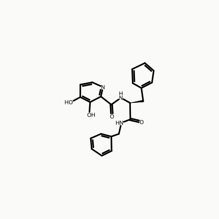 O=C(N[C@@H](Cc1ccccc1)C(=O)NCc1ccccc1)c1nccc(O)c1O